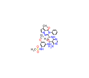 COc1cc(NC(=O)c2c(N)ncnc2NC(C)c2nn3ccc(C)c3c(=O)n2-c2ccccc2)cc(NS(C)(=O)=O)c1